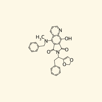 CN(Cc1ccccc1)c1c2c(c(O)c3ncccc13)C(=O)N(C(Cc1ccccc1)C1=COCO1)C2=O